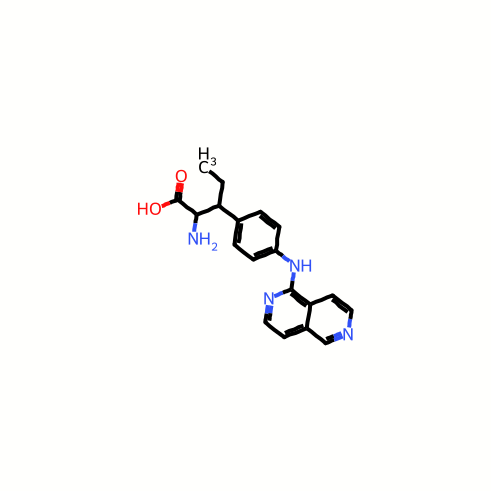 CCC(c1ccc(Nc2nccc3cnccc23)cc1)C(N)C(=O)O